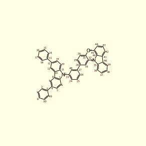 c1ccc(-c2ccc3c(c2)c2cc(-c4ccccc4)ccc2n3-c2cccc(-c3ccc4c(c3)-n3c5ccccc5c5cccc(c53)O4)c2)cc1